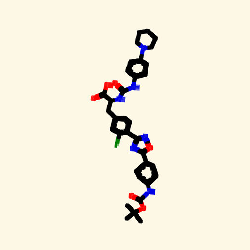 CC(C)(C)OC(=O)Nc1ccc(-c2nc(-c3ccc(CC(NC(=O)Nc4ccc(N5CCCCC5)cc4)C(=O)O)cc3F)no2)cc1